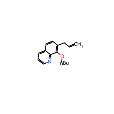 C=CCc1ccc2cccnc2c1OCCCC